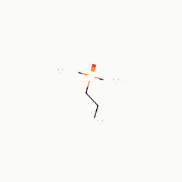 COP(=O)(CCSC)OC